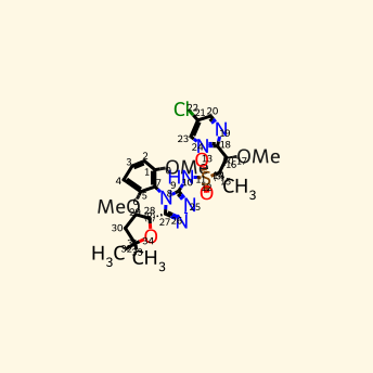 COc1cccc(OC)c1-n1c(NS(=O)(=O)[C@@H](C)[C@H](OC)c2ncc(Cl)cn2)nnc1[C@H]1CCC(C)(C)O1